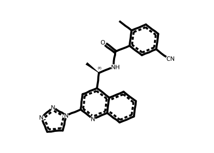 Cc1ccc(C#N)cc1C(=O)N[C@H](C)c1cc(-n2ccnn2)nc2ccccc12